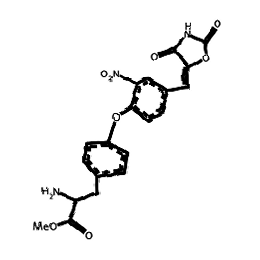 COC(=O)C(N)Cc1ccc(Oc2ccc(/C=C3/OC(=O)NC3=O)cc2[N+](=O)[O-])cc1